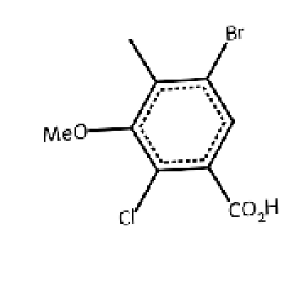 COc1c(C)c(Br)cc(C(=O)O)c1Cl